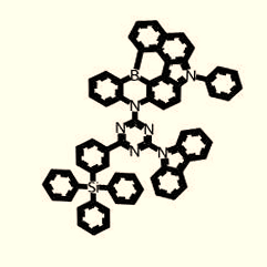 c1ccc(-n2c3ccc4c5c3c3c6c(cccc6ccc32)B5c2ccccc2N4c2nc(-c3cccc([Si](c4ccccc4)(c4ccccc4)c4ccccc4)c3)nc(-n3c4ccccc4c4ccccc43)n2)cc1